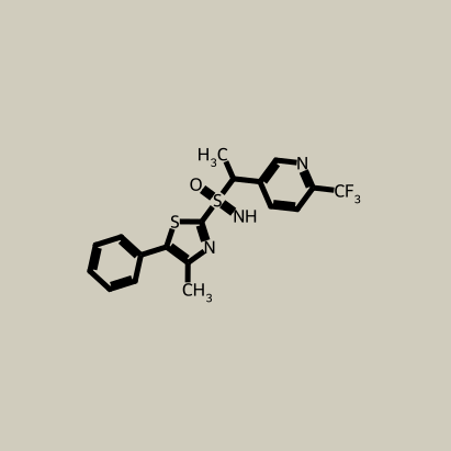 Cc1nc(S(=N)(=O)C(C)c2ccc(C(F)(F)F)nc2)sc1-c1ccccc1